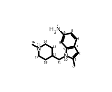 Cc1cc2ccc(N)cc2n1CC1CCN(C)CC1